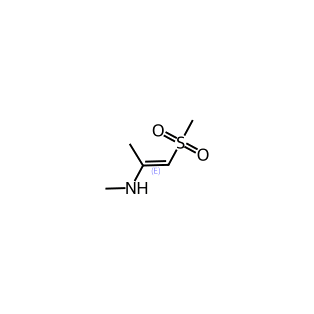 CN/C(C)=C/S(C)(=O)=O